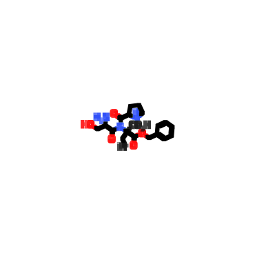 CC(C)CC(C(=O)O)(C(=O)OCc1ccccc1)N(C(=O)C(N)CO)C(=O)C1CCCN1